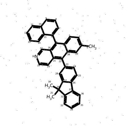 Cc1ccc2c(-c3cccc4ccccc34)c3cnccc3c(-c3ccc4c(c3)C(C)(C)c3ccccc3-4)c2c1